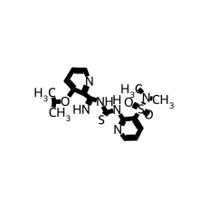 CC(C)Oc1cccnc1C(=N)NC(=S)Nc1ncccc1S(=O)(=O)N(C)C